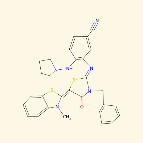 CN1/C(=C2/S/C(=N\c3cc(C#N)ccc3NN3CCCC3)N(Cc3ccccc3)C2=O)Sc2ccccc21